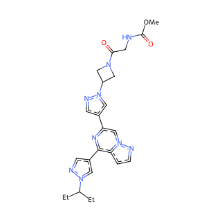 CCC(CC)n1cc(-c2nc(-c3cnn(C4CN(C(=O)CNC(=O)OC)C4)c3)cn3nccc23)cn1